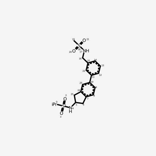 CC(C)S(=O)(=O)NC1Cc2ccc(-c3cccc(CNS(C)(=O)=O)c3)cc2C1